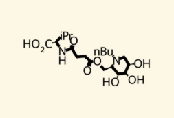 CCCCN1C[C@H](O)[C@@H](O)[C@H](O)[C@H]1COC(=O)CCC(=O)N[C@H](C(=O)O)C(C)C